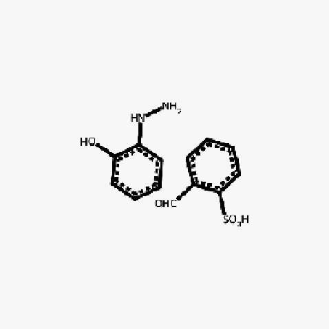 NNc1ccccc1O.O=Cc1ccccc1S(=O)(=O)O